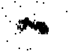 CC(C)(C)[Si](C)(C)O[C@H](CNCCCCCCOc1ccc(-c2ccccc2)c(N(C(=O)O)C2CCC(N)CC2)c1)c1ccc(O)c2[nH]c(=O)ccc12